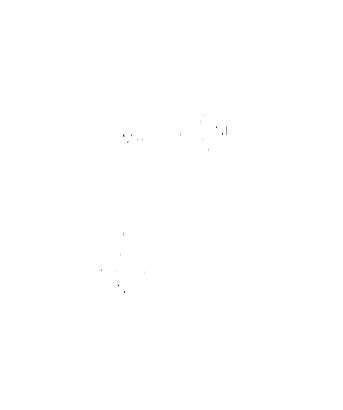 COc1cc2c(cc1OS(N)(=O)=O)CCC1C2CC[C@@]2(C)C1CC[C@@H]2OS(N)(=O)=O